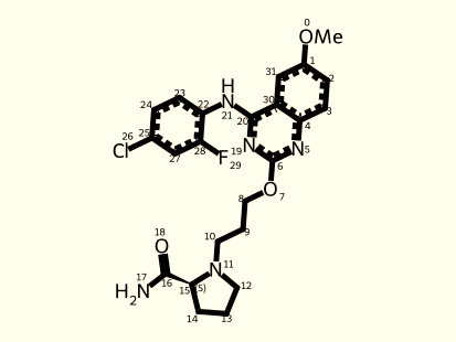 COc1ccc2nc(OCCCN3CCC[C@H]3C(N)=O)nc(Nc3ccc(Cl)cc3F)c2c1